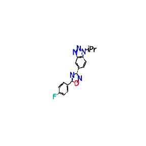 CC(C)n1nnc2cc(-c3noc(-c4ccc(F)cc4)n3)ccc21